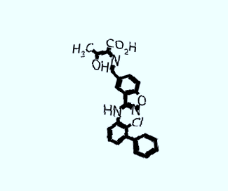 CC(O)C(N=Cc1ccc2onc(Nc3cccc(-c4ccccc4)c3Cl)c2c1)C(=O)O